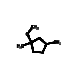 COC1(C)CCC(C)C1